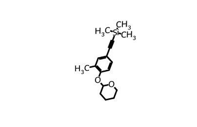 Cc1cc(C#C[Si](C)(C)C)ccc1OC1CCCCO1